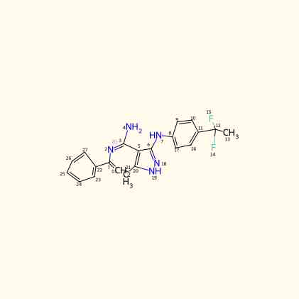 C=C(/N=C(/N)c1c(Nc2ccc(C(C)(F)F)cc2)n[nH]c1C)c1ccccc1